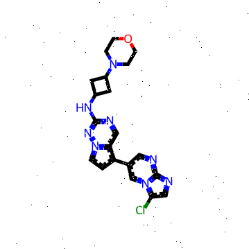 Clc1cnc2ncc(-c3ccn4nc(NC5CC(N6CCOCC6)C5)ncc34)cn12